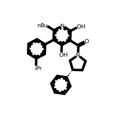 CCCCc1nc(O)c(C(=O)N2CC[C@H](c3ccccc3)C2)c(O)c1-c1cccc(C(C)C)c1